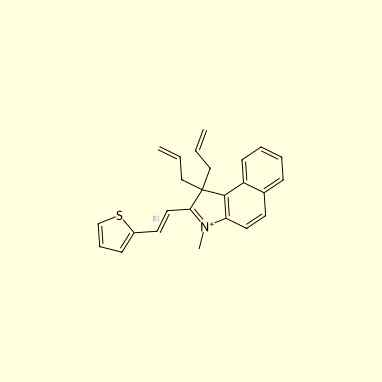 C=CCC1(CC=C)C(/C=C/c2cccs2)=[N+](C)c2ccc3ccccc3c21